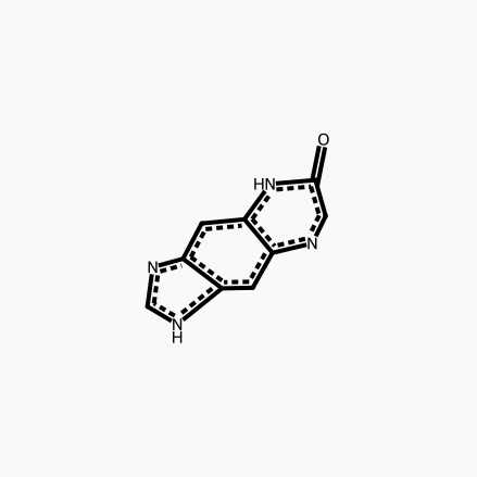 O=c1cnc2cc3[nH]cnc3cc2[nH]1